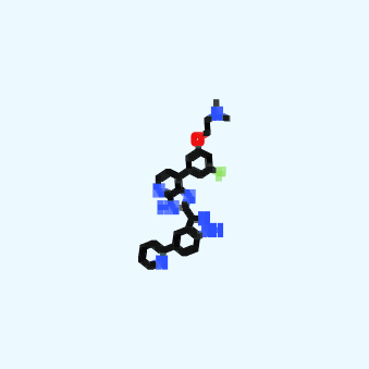 CN(C)CCOc1cc(F)cc(-c2ccnc3[nH]c(-c4n[nH]c5ccc(-c6ccccn6)cc45)nc23)c1